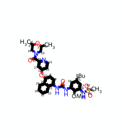 COc1c(NC(=O)Nc2ccc(Oc3ccnc(C(=O)N4CC(C)OC(C)C4)c3)c3ccccc23)cc(C(C)(C)C)cc1NS(C)(=O)=O